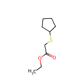 CCOC(=O)CSC1CCCC1